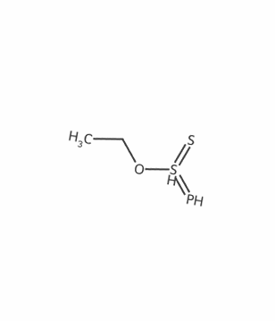 CCO[SH](=P)=S